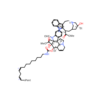 CCCCC/C=C\C/C=C\CCCCCCCCNC(=O)O[C@@H]1[C@]2(CC)C=CCN3CC[C@@]4(c5cc([C@@]6(C(=O)OC)CC7C[N@](CCc8c6[nH]c6ccccc86)C[C@](O)(CC)C7)c(OC)cc5N(C=O)[C@H]4[C@@]1(O)C(=O)OC)[C@@H]32